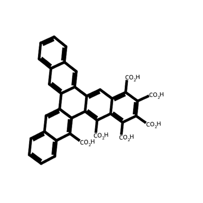 O=C(O)c1c(C(=O)O)c(C(=O)O)c2c(C(=O)O)c3c(cc2c1C(=O)O)c1cc2ccccc2cc1c1cc2ccccc2c(C(=O)O)c13